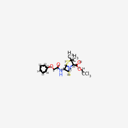 CC1(C)SC2[C@@H](NC(=O)COc3ccccc3)C(=S)N2C1C(=O)OCC(Cl)(Cl)Cl